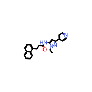 CCn1nc(-c2ccncc2)cc1NC(=O)CCc1cccc2ccccc12